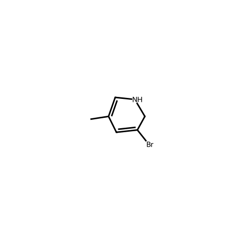 CC1=CNCC(Br)=C1